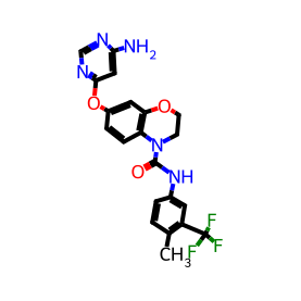 Cc1ccc(NC(=O)N2CCOc3cc(Oc4cc(N)ncn4)ccc32)cc1C(F)(F)F